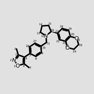 Cc1noc(C)c1-c1ccc(CN2CCC[C@H]2c2ccc3c(c2)OCCO3)cc1